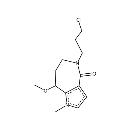 COC1CCN(CCCCl)C(=O)c2ccn(C)c21